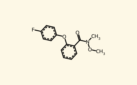 CON(C)C(=O)c1ccccc1Oc1ccc(F)cc1